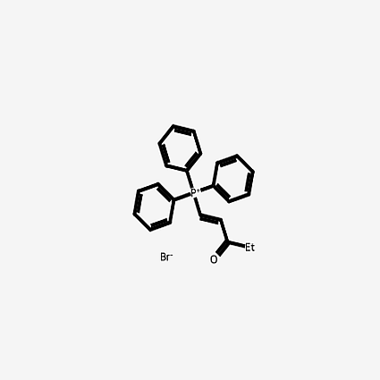 CCC(=O)C=C[P+](c1ccccc1)(c1ccccc1)c1ccccc1.[Br-]